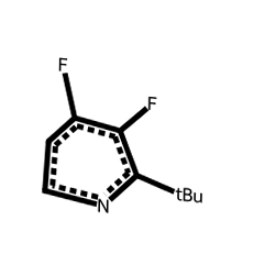 CC(C)(C)c1nccc(F)c1F